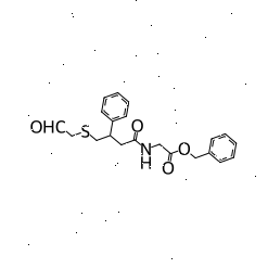 O=CCSCC(CC(=O)NCC(=O)OCc1ccccc1)c1ccccc1